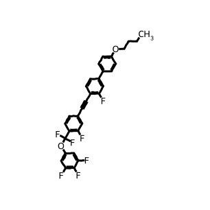 CCCCOc1ccc(-c2ccc(C#Cc3ccc(C(F)(F)Oc4cc(F)c(F)c(F)c4)c(F)c3)c(F)c2)cc1